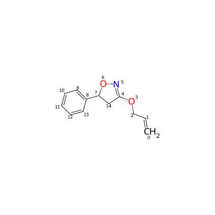 C=CCOC1=NOC(c2ccccc2)C1